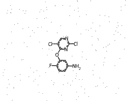 Nc1ccc(F)c(Oc2nc(Cl)ncc2Cl)c1